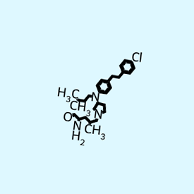 CC(C)CCN(c1ccc(CCc2ccc(Cl)cc2)cc1)C1CCN(CC(C)CC(N)C=O)C1